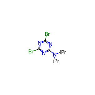 CC(C)N(c1nc(Br)nc(Br)n1)C(C)C